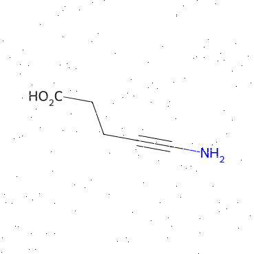 NC#CCCC(=O)O